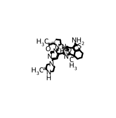 C[C@@H]1CN(c2cc(-c3noc([C@@]4(C)CCCc5sc(N)c(C#N)c54)n3)nc(O[C@@H](C)[C@@H]3CCCN3C)n2)CCN1